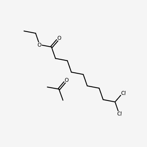 CC(C)=O.CCOC(=O)CCCCCCCC(Cl)Cl